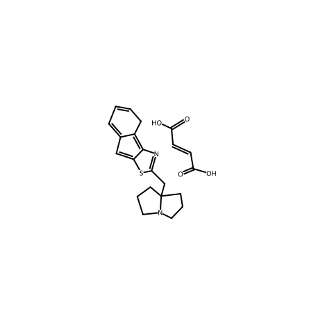 C1=CCC2=c3nc(CC45CCCN4CCC5)sc3=CC2=C1.O=C(O)C=CC(=O)O